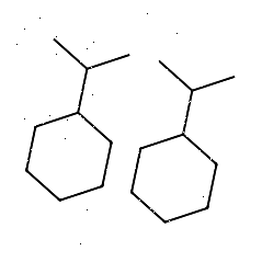 CC(C)C1CCCCC1.CC(C)C1CCCCC1